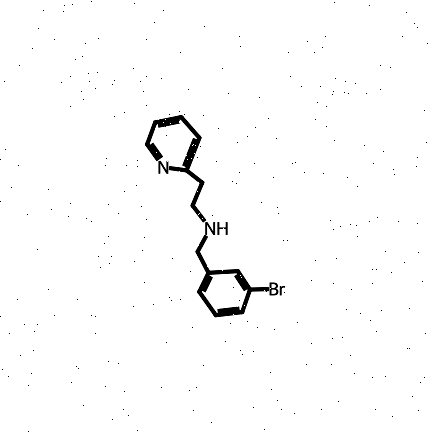 Brc1cccc(CNCCc2ccccn2)c1